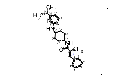 C/C(=C\c1ccccc1)C(=O)NC1CCC(Nc2nccc(N(C)C)n2)CC1